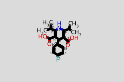 CC(C)C1=C(C(=O)O)C(c2ccc(F)cc2)C(C(=O)O)=C(C(C)C)N1